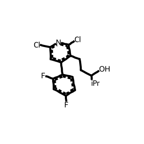 CC(C)C(O)CCc1c(-c2ccc(F)cc2F)cc(Cl)nc1Cl